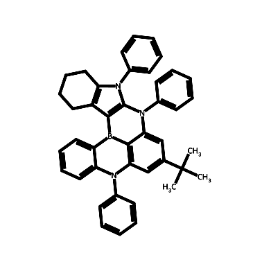 CC(C)(C)c1cc2c3c(c1)N(c1ccccc1)c1c(c4c(n1-c1ccccc1)CCCC4)B3c1ccccc1N2c1ccccc1